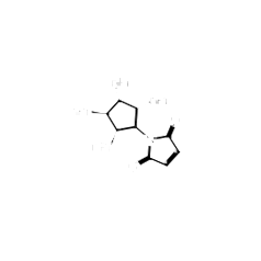 CCC[C@H]1[C@H](CCC)[C@H](CCC)C(N2C(=O)C=CC2=O)[C@H]1CCC